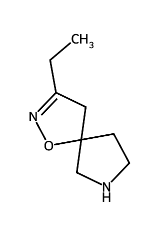 CCC1=NOC2(CCNC2)C1